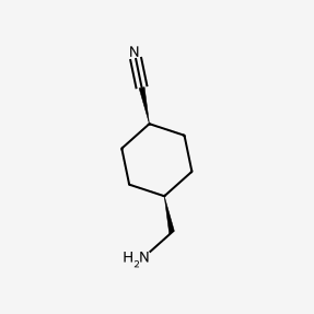 N#C[C@H]1CC[C@@H](CN)CC1